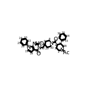 CC(=O)N1CC[C@@H](C(=O)N2CCC(O)(Cn3cnc4c(ccn4-c4ccccc4)c3=O)CC2)[C@H](c2ccccc2)C1